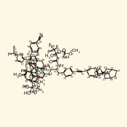 COC(=O)N[C@H](C(=O)N[C@@H](Cc1ccc(C#Cc2cnc(N3CC4CCC(C3)N4C3COC3)nc2)cc1)[C@H](CN(Cc1c(F)cc(-c2ccn(C(F)F)n2)cc1F)NC(=O)[C@@H](NC(=O)OC)C(C)(C)C(F)(F)F)OC(=O)CC(C)(C)c1c(CC(=O)NCc2ccc(C#N)cc2)cc(C)cc1OP(=O)(O)O)C(C)(C)C(F)(F)F